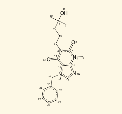 Cn1c(=O)n(CCCC(C)(C)O)c(=O)c2c1ncn2Cc1ccccc1